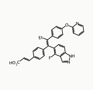 CCC(=C(c1ccc(C=CC(=O)O)cc1)c1ccc2[nH]ncc2c1F)c1ccc(Oc2ccccn2)cc1